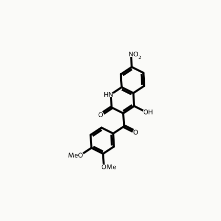 COc1ccc(C(=O)c2c(O)c3ccc([N+](=O)[O-])cc3[nH]c2=O)cc1OC